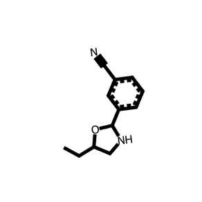 CCC1CNC(c2cccc(C#N)c2)O1